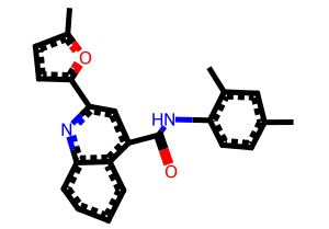 Cc1ccc(NC(=O)c2cc(-c3ccc(C)o3)nc3ccccc23)c(C)c1